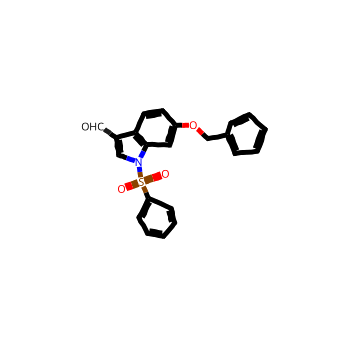 O=Cc1cn(S(=O)(=O)c2ccccc2)c2cc(OCc3ccccc3)ccc12